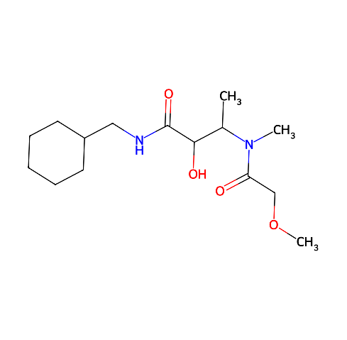 COCC(=O)N(C)C(C)C(O)C(=O)NCC1CCCCC1